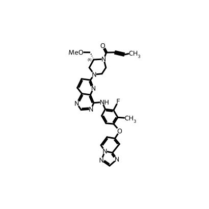 CC#CC(=O)N1CCN(c2ccc3ncnc(Nc4ccc(Oc5ccn6ncnc6c5)c(C)c4F)c3n2)C[C@@H]1COC